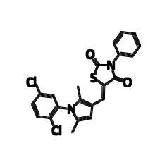 Cc1cc(C=C2SC(=O)N(c3ccccc3)C2=O)c(C)n1-c1cc(Cl)ccc1Cl